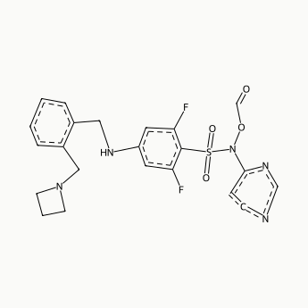 O=CON(c1ccncn1)S(=O)(=O)c1c(F)cc(NCc2ccccc2CN2CCC2)cc1F